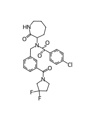 O=C1NCCCCC1N(Cc1cccc(C(=O)N2CCC(F)(F)C2)c1)S(=O)(=O)c1ccc(Cl)cc1